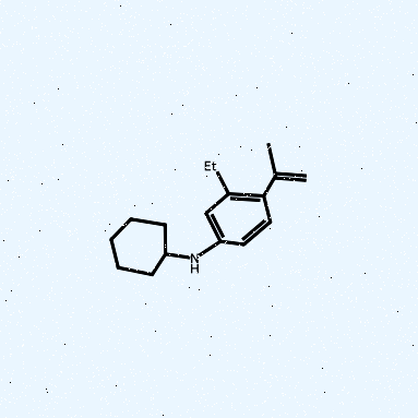 C=C(C)c1ccc(NC2CCCCC2)cc1CC